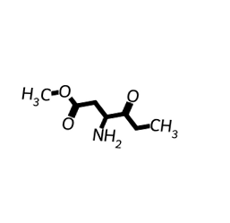 CCC(=O)C(N)CC(=O)OC